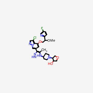 COC(COc1cc(/C(N=N)=C(\C)NC2CCN(C3COCC3O)CC2)cn2ncc(Cl)c12)c1ccc(F)cn1